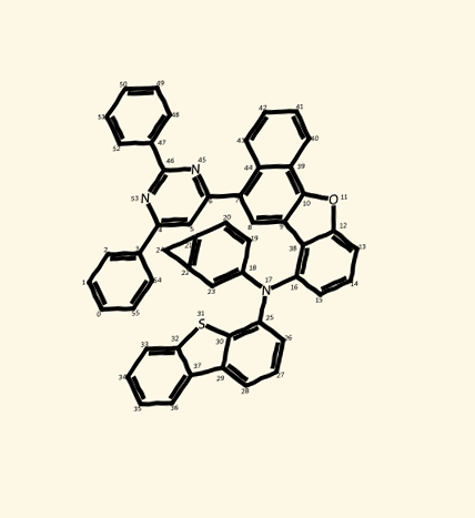 c1ccc(-c2cc(-c3cc4c(oc5cccc(N(c6ccc7c(c6)C7)c6cccc7c6sc6ccccc67)c54)c4ccccc34)nc(-c3ccccc3)n2)cc1